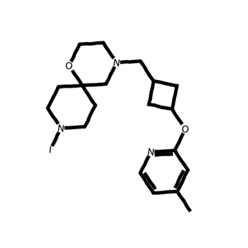 Cc1ccnc(OC2CC(CN3CCOC4(CCN(I)CC4)C3)C2)c1